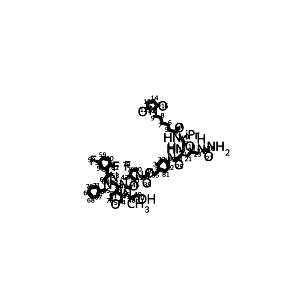 CC(C)[C@H](NC(=O)CCCCCN1C(=O)C=CC1=O)C(=O)N[C@@H](CCCNC(N)=O)C(=O)Nc1ccc(COC(=O)N2C[C@H](CN(C(=O)N[C@@H](C)CO)[C@@H](c3nc(-c4cc(F)ccc4F)cn3Cc3ccccc3)C3CCOCC3)[C@H](F)C2)cc1